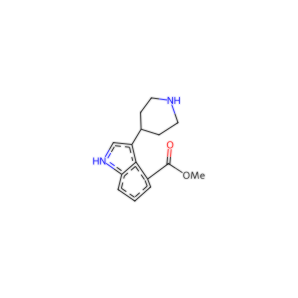 COC(=O)c1cccc2[nH]cc(C3CCNCC3)c12